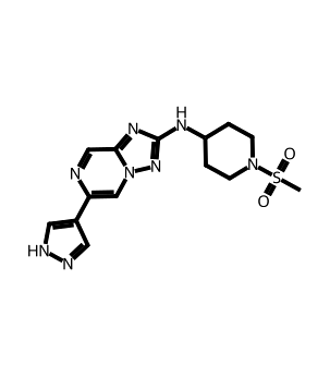 CS(=O)(=O)N1CCC(Nc2nc3cnc(-c4cn[nH]c4)cn3n2)CC1